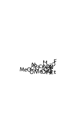 CCOc1cn(-c2ccc(F)cc2C)nc1C(=O)Nc1ccc(Oc2ccnc3cc(OC)c(OC)cc23)cc1CO